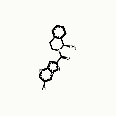 CC1c2ccccc2CCN1C(=O)c1cc2ncc(Cl)cn2n1